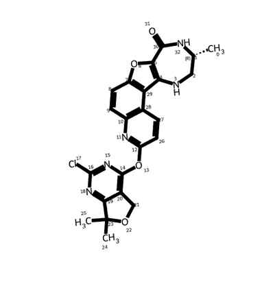 C[C@@H]1CNc2c(oc3ccc4nc(Oc5nc(Cl)nc6c5COC6(C)C)ccc4c23)C(=O)N1